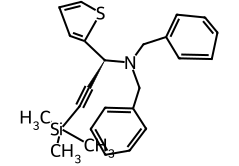 C[Si](C)(C)C#C[C@@H](c1cccs1)N(Cc1ccccc1)Cc1ccccc1